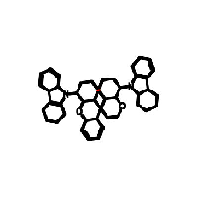 C1=CC2OC3C(N4C5=C(CCCC5)C5C=CC=CC54)CCCC3C3(C2C=C1)C1CCCCC1OC1C(N2C4=C(C=CCC4)C4CCCCC42)CCCC13